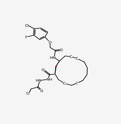 O=C(CCl)NNC(=O)C12CCCCCCCCCCCC(NC(=O)COc3ccc(Cl)c(F)c3)(C1)C2